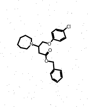 O=C(CC(COc1ccc(Cl)cc1)N1CCCCCC1)OCc1ccccc1